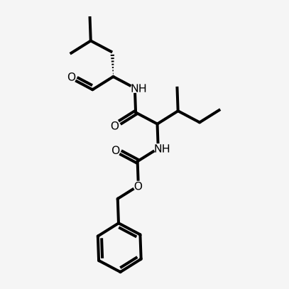 CCC(C)C(NC(=O)OCc1ccccc1)C(=O)N[C@H](C=O)CC(C)C